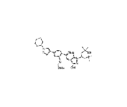 COCOc1cc(-c2cnn(C3CCCCO3)c2)ccc1-c1cc2c(O)nn(C3CC(C)(C)NC(C)(C)C3)c2nn1